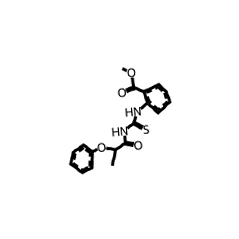 COC(=O)c1ccccc1NC(=S)NC(=O)C(C)Oc1ccccc1